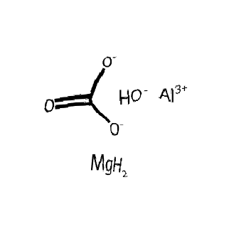 O=C([O-])[O-].[Al+3].[MgH2].[OH-]